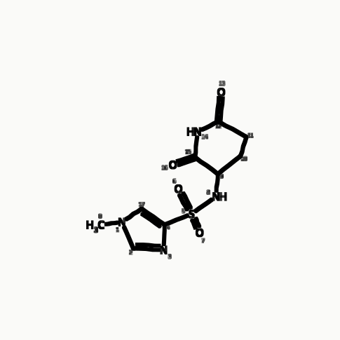 Cn1cnc(S(=O)(=O)NC2CCC(=O)NC2=O)c1